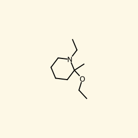 CCOC1(C)CCCCN1CC